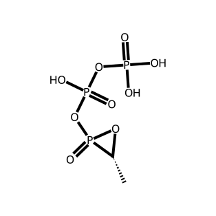 C[C@H]1OP1(=O)OP(=O)(O)OP(=O)(O)O